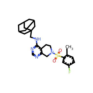 Cc1ccc(F)cc1S(=O)(=O)N1CCc2c(ncnc2NCC23CC4CC(CC(C4)C2)C3)C1